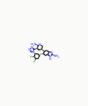 Nc1nc2cc(-c3cnc(N)c(-c4nnnn4-c4cccc(F)c4F)c3)c(F)cc2[nH]1